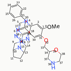 COc1cc2ncnc(N3CC4CCC(C3)N4c3ncc(Cc4ccccc4)cn3)c2cc1OCC1CNCCO1